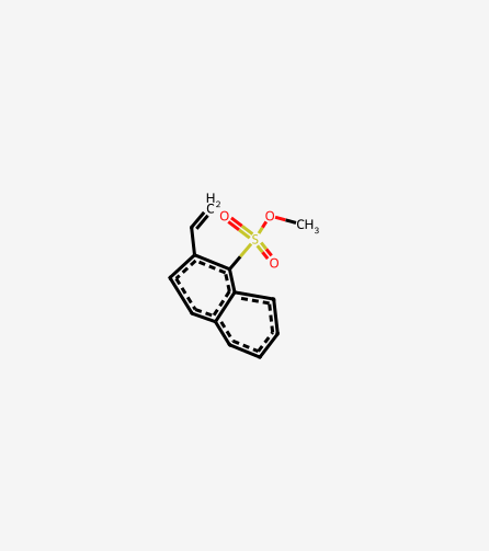 C=Cc1ccc2ccccc2c1S(=O)(=O)OC